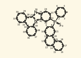 S=P(c1ccccc1)(c1ccc2ccc3ccccc3c2c1)c1ccc2nc3c4ccccc4c4ccccc4n3c2c1